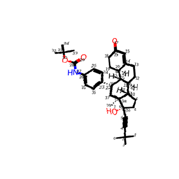 CC(C)(C)C#C[C@]1(O)CC[C@H]2[C@@H]3CCC4=CC(=O)CC[C@@H]4[C@H]3[C@@H](c3ccc(NC(=O)OC(C)(C)C)cc3)C[C@@]21C